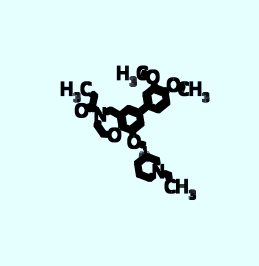 CCC(=O)N1CCOc2c(cc(-c3ccc(OC)c(OC)c3)cc2OC[C@H]2CCCN(CC)C2)C1